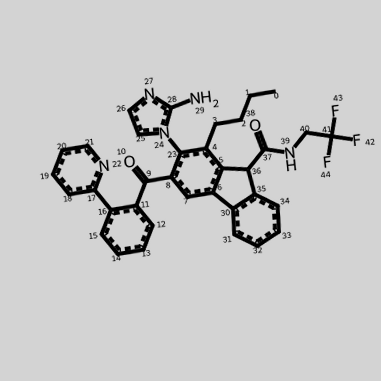 CCCCc1c2c(cc(C(=O)c3ccccc3-c3ccccn3)c1-n1ccnc1N)-c1ccccc1C2C(=O)NCC(F)(F)F